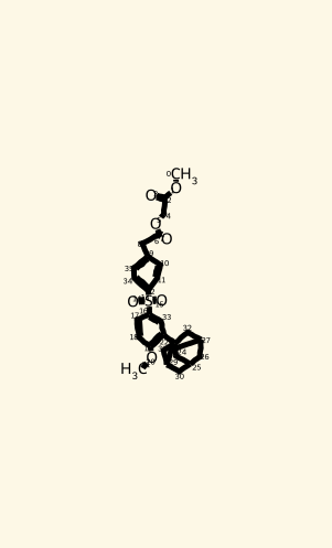 COC(=O)COC(=O)Cc1ccc(S(=O)(=O)c2ccc(OC)c(C34CC5CC(CC(C5)C3)C4)c2)cc1